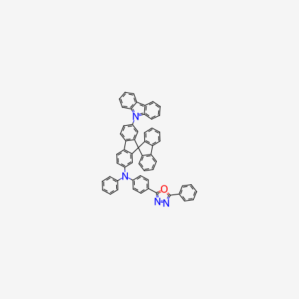 c1ccc(-c2nnc(-c3ccc(N(c4ccccc4)c4ccc5c(c4)C4(c6ccccc6-c6ccccc64)c4cc(-n6c7ccccc7c7ccccc76)ccc4-5)cc3)o2)cc1